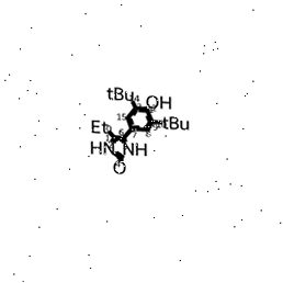 CCc1[nH]c(=O)[nH]c1-c1cc(C(C)(C)C)c(O)c(C(C)(C)C)c1